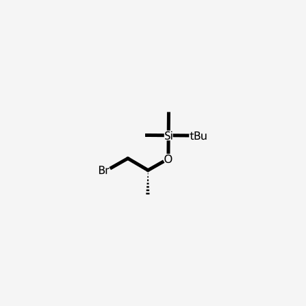 C[C@H](CBr)O[Si](C)(C)C(C)(C)C